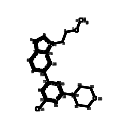 COCCn1cnc2ccc(-c3cc(Cl)nc(N4CCOCC4)n3)cc21